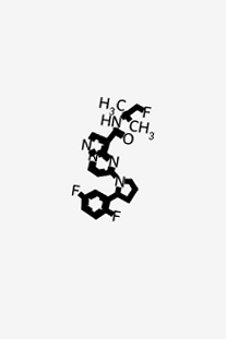 CC(C)(CF)NC(=O)c1cnn2ccc(N3CCCC3c3cc(F)ccc3F)nc12